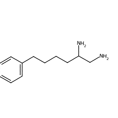 NCC(N)CCCCc1ccccc1